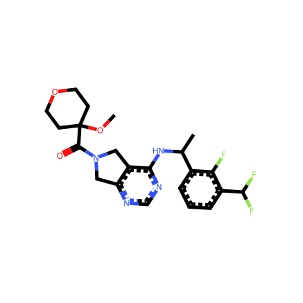 COC1(C(=O)N2Cc3ncnc(NC(C)c4cccc(C(F)F)c4F)c3C2)CCOCC1